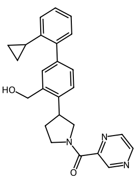 O=C(c1cnccn1)N1CCC(c2ccc(-c3ccccc3C3CC3)cc2CO)C1